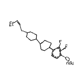 CC/C=C\CC1CCC(C2CCC(c3ccc(OCCCC)c(F)c3F)CC2)CC1